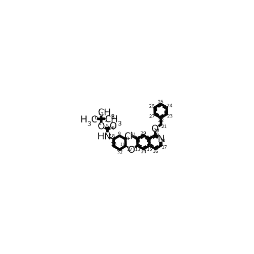 CC(C)(C)OC(=O)N[C@H]1CC[C@@H](Oc2cc3ccnc(OCc4ccccc4)c3cc2Cl)CC1